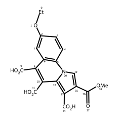 CCOc1ccc2c(c1)c(C(=O)O)c(C(=O)O)c1c(C(=O)O)c(C(=O)OC)cn12